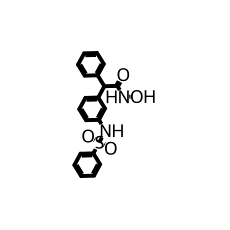 O=C(NO)C(c1ccccc1)c1cccc(NS(=O)(=O)c2ccccc2)c1